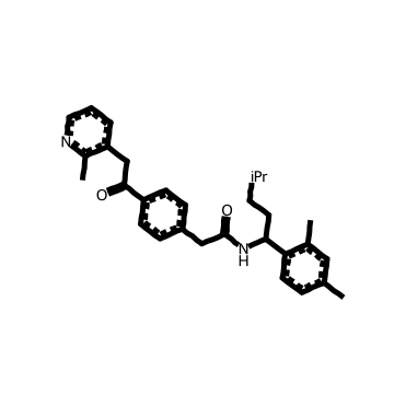 Cc1ccc(C(CCC(C)C)NC(=O)Cc2ccc(C(=O)Cc3cccnc3C)cc2)c(C)c1